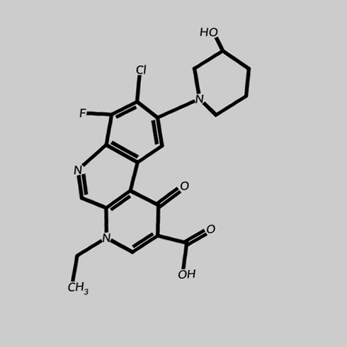 CCn1cc(C(=O)O)c(=O)c2c3cc(N4CCCC(O)C4)c(Cl)c(F)c3ncc21